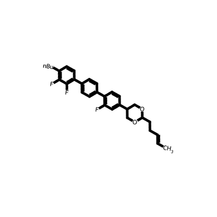 C/C=C/CCC1OCC(c2ccc(-c3ccc(-c4ccc(CCCC)c(F)c4F)cc3)c(F)c2)CO1